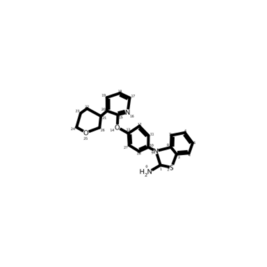 NC1Sc2ccccc2N1c1ccc(Oc2ncccc2C2CCCOC2)cc1